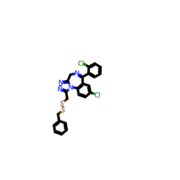 Clc1ccc2c(c1)C(c1ccccc1Cl)=NCc1nnc(CSSCc3ccccc3)n1-2